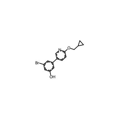 Oc1cc(Br)cc(-c2ccc(OCC3CC3)nc2)c1